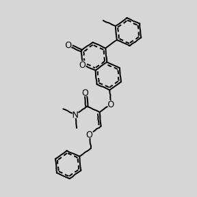 Cc1ccccc1-c1cc(=O)oc2cc(OC(=COCc3ccccc3)C(=O)N(C)C)ccc12